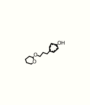 Oc1ccc(CCCOC2CCCCO2)cc1